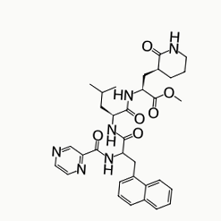 COC(=O)[C@H](C[C@@H]1CCCNC1=O)NC(=O)[C@H](CC(C)C)NC(=O)C(Cc1cccc2ccccc12)NC(=O)c1cnccn1